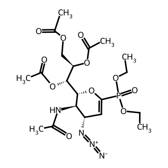 CCOP(=O)(OCC)C1=C[C@H](N=[N+]=[N-])[C@@H](NC(C)=O)[C@H]([C@H](OC(C)=O)[C@@H](COC(C)=O)OC(C)=O)O1